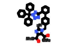 CCCc1nc(C(=O)OC)c(C(=O)OC)n1Cc1ccc(-c2ccccc2-c2nnn(C(c3ccccc3)(c3ccccc3)c3ccccc3)n2)cc1